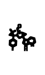 Cc1ccc(C2(C3CC4(c5c[nH]c6ncccc56)CC4N3C=O)CC2(C)C)cc1